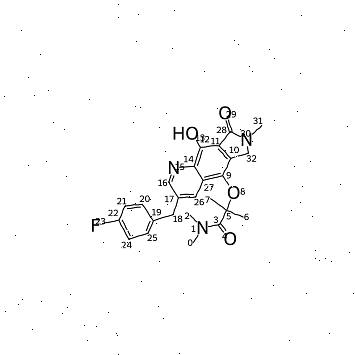 CN(C)C(=O)C(C)(C)Oc1c2c(c(O)c3ncc(Cc4ccc(F)cc4)cc13)C(=O)N(C)C2